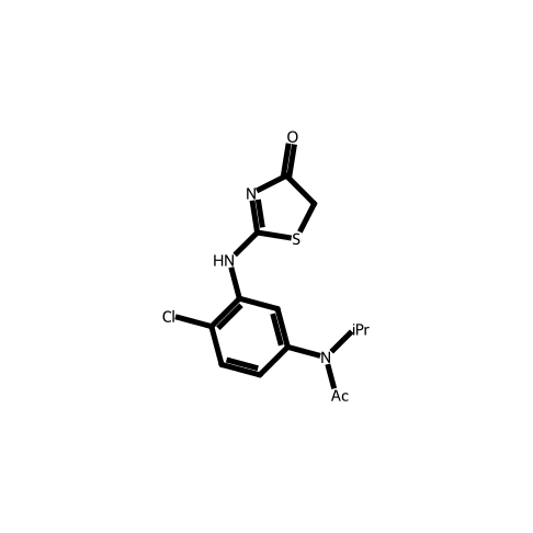 CC(=O)N(c1ccc(Cl)c(NC2=NC(=O)CS2)c1)C(C)C